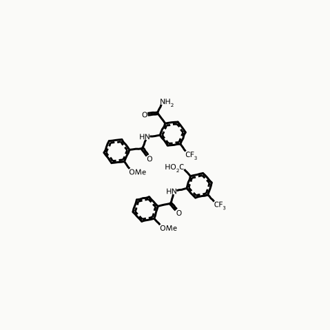 COc1ccccc1C(=O)Nc1cc(C(F)(F)F)ccc1C(=O)O.COc1ccccc1C(=O)Nc1cc(C(F)(F)F)ccc1C(N)=O